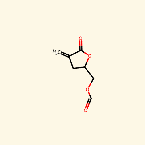 C=C1CC(COC=O)OC1=O